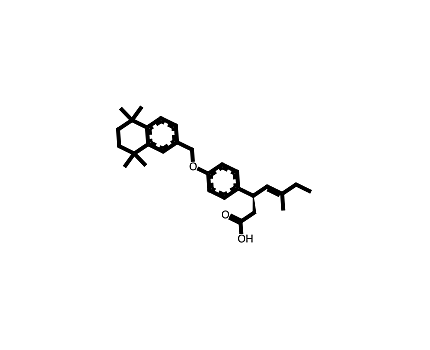 CC/C(C)=C/[C@@H](CC(=O)O)c1ccc(OCc2ccc3c(c2)C(C)(C)CCC3(C)C)cc1